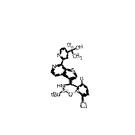 CC(C)(C)[S+]([O-])NC(c1nc(Cl)ccc1Cl)c1csc2c(-c3cc([C@](C)(O)C(F)(F)F)ccn3)nccc12